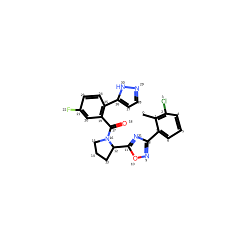 Cc1c(Cl)cccc1-c1noc(C2CCCN2C(=O)c2cc(F)ccc2-c2ccn[nH]2)n1